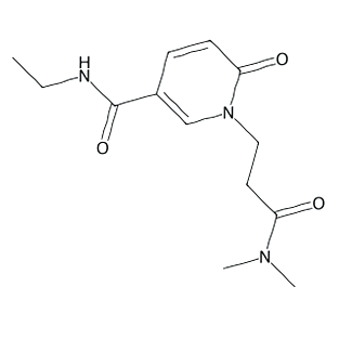 CCNC(=O)c1ccc(=O)n(CCC(=O)N(C)C)c1